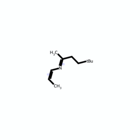 C/C=C\N=C(/C)CCC(C)(C)C